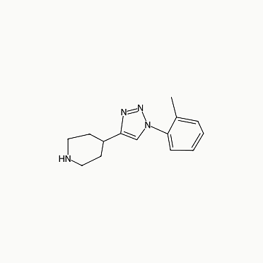 Cc1ccccc1-n1cc(C2CCNCC2)nn1